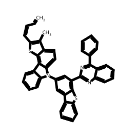 C=C/C=C\c1sc2c(ccc3c2c2ccccc2n3-c2cc(-c3nc(-c4ccccc4)c4ccccc4n3)c3sc4ccccc4c3c2)c1C